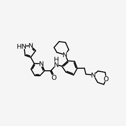 O=C(Nc1ccc(CCN2CCOCC2)cc1N1CCCCC1)c1cccc(-c2cn[nH]c2)n1